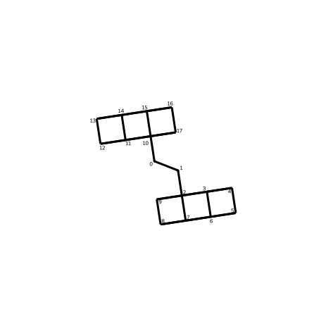 C(CC12C3C4C5C3C1C5C42)C12C3C4C5C3C1C5C42